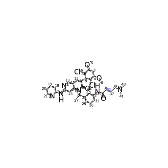 COc1cc(OC)c(Cl)c(-c2cc3cnc(Nc4ccccn4)cc3n(C(C)c3cccc(NC(=O)/C=C/CN(C)C)c3)c2=O)c1Cl